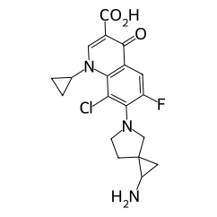 NC1CC12CCN(c1c(F)cc3c(=O)c(C(=O)O)cn(C4CC4)c3c1Cl)C2